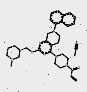 C=CC(=O)N1CCN(c2nc(OC[C@@H]3CCCN(C)C3)nc3c2CCN(c2cccc4ccccc24)C3)C[C@@H]1CC#N